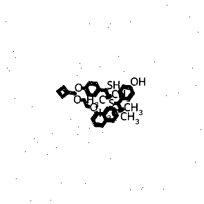 CC(C)(C)C(SC(C)(C)C(S)c1ccc(OC(OCCOc2cccc3ccccc23)C2=CCC2)cc1)c1ccc(O)cc1